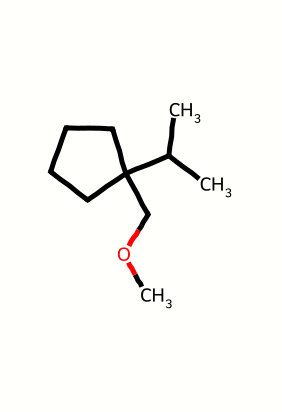 COCC1(C(C)C)CCCC1